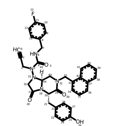 C#CCN(C(=O)NCc1ccc(F)cc1)N1CC(=O)N2[C@@H](Cc3ccc(O)cc3)C(=O)N(Cc3cccc4ccccc34)C[C@@H]21